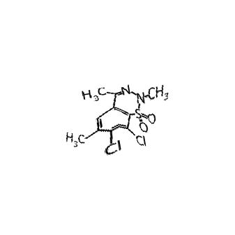 CC1=NN(C)S(=O)(=O)c2c1cc(C)c(Cl)c2Cl